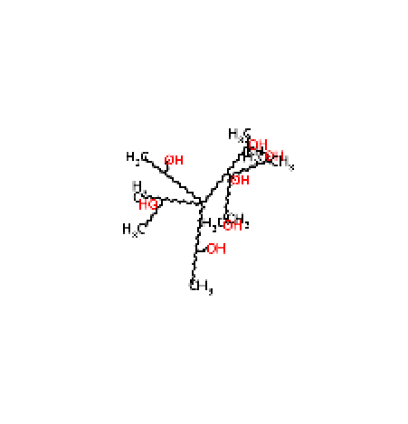 CCCCCCCCC(CCO)CCCCCCCCCCC(CCCCCCCCCCC(CCO)CCCCCC)(CCCCCCCCC(CCCCCC)CC(O)CCCCCC)CCCCCCCCC(CCCCCCCC(C)(O)CCC)C(O)(CCCCCCCCCC(C)(C)O)CCCCCCCCC(C)(O)CC